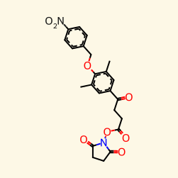 Cc1cc(C(=O)CCC(=O)ON2C(=O)CCC2=O)cc(C)c1OCc1ccc([N+](=O)[O-])cc1